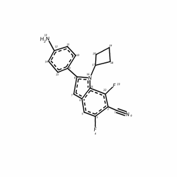 N#Cc1c(F)cc2cc(-c3ccc(N)cc3)n(C3CCC3)c2c1F